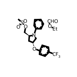 CCOC=O.CS(=O)(=O)OC[C@@H]1C[C@@H](Oc2ccc(C(F)(F)F)cc2)CN1c1ccccc1